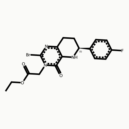 CCOC(=O)Cn1c(Br)nc2c(c1=O)N[C@H](c1ccc(F)cc1)CC2